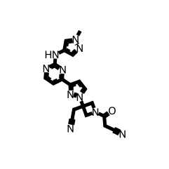 Cn1cc(Nc2nccc(-c3ccn(C4(CC#N)CN(C(=O)CC#N)C4)n3)n2)cn1